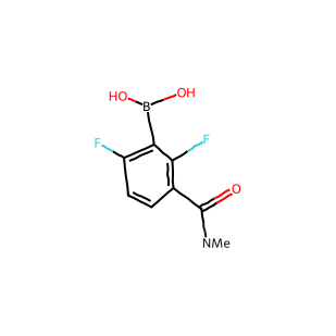 CNC(=O)c1ccc(F)c(B(O)O)c1F